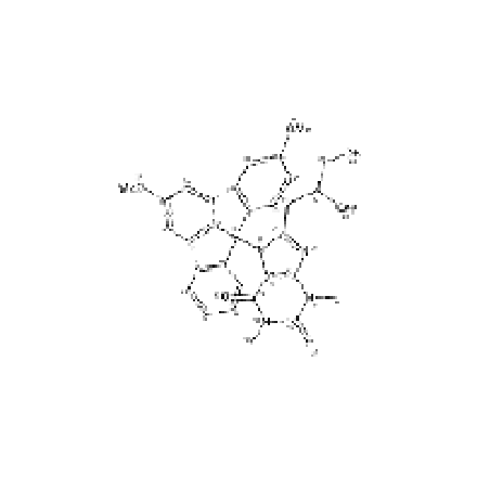 COc1ccc(C(c2ccccc2)(c2ccc(OC)cc2)n2c(CC(O)CO)nc3c2c(=O)n(C)c(=O)n3C)cc1